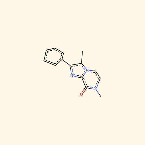 Cc1c(-c2ccccc2)nc2c(=O)n(C)ccn12